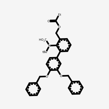 CCC(=O)OCc1cccc(-c2ccc(OCc3ccccc3)c(OCc3ccccc3)c2)c1N(C(=O)O)C(C)(C)C